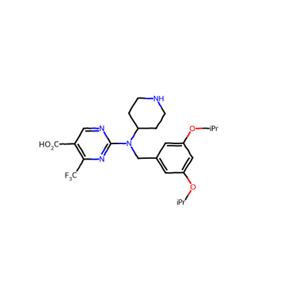 CC(C)Oc1cc(CN(c2ncc(C(=O)O)c(C(F)(F)F)n2)C2CCNCC2)cc(OC(C)C)c1